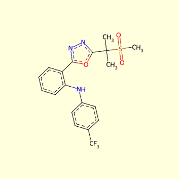 CC(C)(c1nnc(-c2ccccc2Nc2ccc(C(F)(F)F)cc2)o1)S(C)(=O)=O